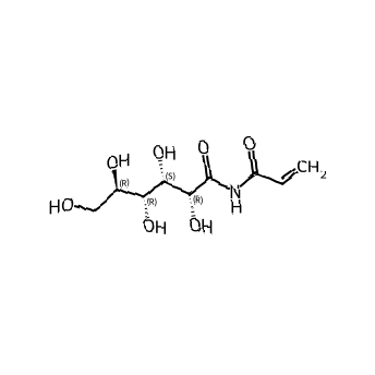 C=CC(=O)NC(=O)[C@H](O)[C@@H](O)[C@H](O)[C@H](O)CO